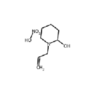 C=CCN1CCCCC1O.O=[N+]([O-])O